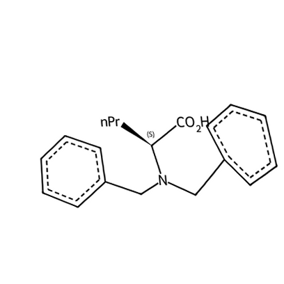 CCC[C@@H](C(=O)O)N(Cc1ccccc1)Cc1ccccc1